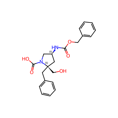 O=C(N[C@@H]1CN(C(=O)O)[C@@](CO)(Cc2ccccc2)C1)OCc1ccccc1